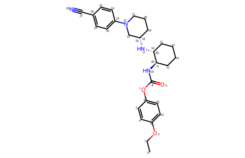 CCOc1ccc(OC(=O)N[C@@H]2CCCC[C@H]2N[C@H]2CCCN(c3ccc(C#N)cc3)C2)cc1